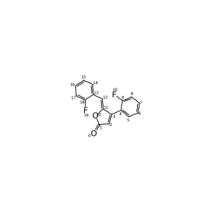 O=C1C=C(c2ccccc2F)C(=Cc2ccccc2F)O1